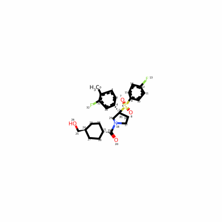 Cc1ccc([C@]2(S(=O)(=O)c3ccc(F)cc3)CCN(C(=O)[C@H]3CC[C@H](CO)CC3)C2)cc1F